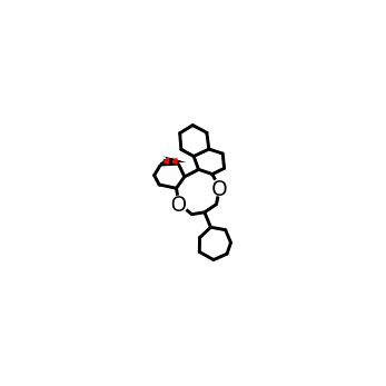 C1CCCC(C2COC3CCC4CCCCC4C3C3C(CCC4CCCCC43)OC2)CC1